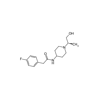 C[C@H](CO)N1CCC(NC(=O)Cc2ccc(F)cc2)CC1